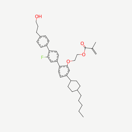 C=C(C)C(=O)OCCOc1cc(C2CCC(CCCCC)CC2)ccc1-c1ccc(-c2ccc(CCCO)cc2)c(F)c1